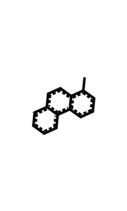 Cc1cccc2c1ccc1[c]cccc12